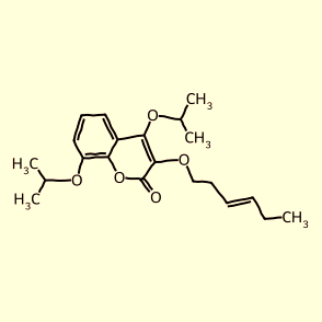 CCC=CCCOc1c(OC(C)C)c2cccc(OC(C)C)c2oc1=O